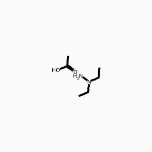 CC(=O)O.CCN(N)CC